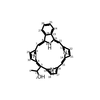 CC(O)c1c2nc(cc3[nH]c(cc4nc(cc5ccc1[nH]5)C=C4)c1ccccc31)C=C2